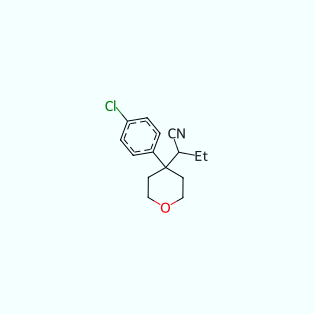 CCC(C#N)C1(c2ccc(Cl)cc2)CCOCC1